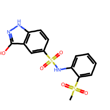 CS(=O)(=O)c1ccccc1NS(=O)(=O)c1ccc2[nH]nc(O)c2c1